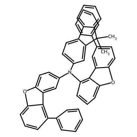 CC1(C)c2ccccc2-c2ccc(N(c3ccc4oc5cccc(-c6ccccc6)c5c4c3)c3cccc4oc5ccc(-c6ccccc6)cc5c34)cc21